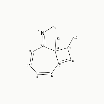 C/N=C1/C=CC=CC2=CC(C)C21C